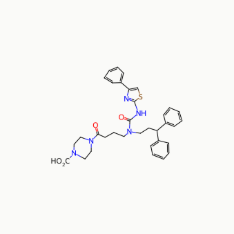 O=C(O)N1CCN(C(=O)CCCN(CCC(c2ccccc2)c2ccccc2)C(=O)Nc2nc(-c3ccccc3)cs2)CC1